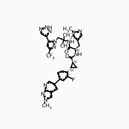 Cn1cc(C[C@@H](NC(=O)[C@H]2C[C@@H]2c2ccc(-c3cnc4nn(C)cc4c3)cc2F)C(=O)NC(C)(C)Cn2nc(C(F)(F)F)cc2-c2cn[nH]n2)cn1